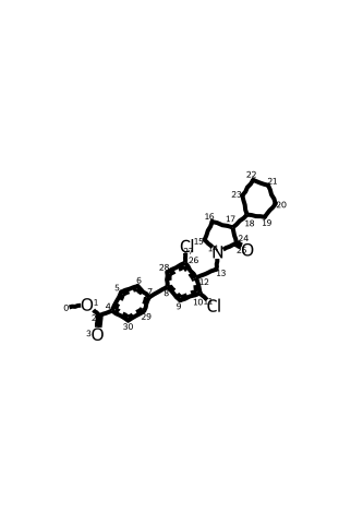 COC(=O)c1ccc(-c2cc(Cl)c(CN3CCC(C4CCCCC4)C3=O)c(Cl)c2)cc1